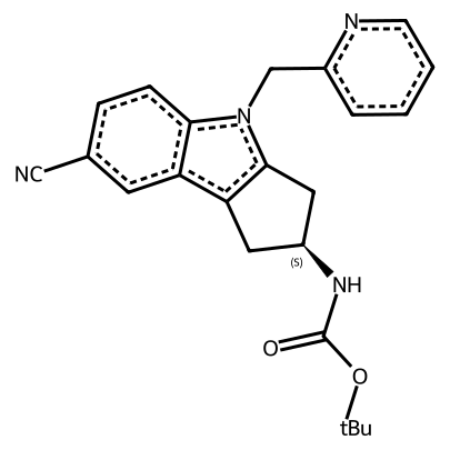 CC(C)(C)OC(=O)N[C@H]1Cc2c(n(Cc3ccccn3)c3ccc(C#N)cc23)C1